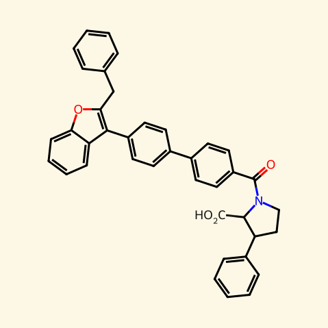 O=C(O)C1C(c2ccccc2)CCN1C(=O)c1ccc(-c2ccc(-c3c(Cc4ccccc4)oc4ccccc34)cc2)cc1